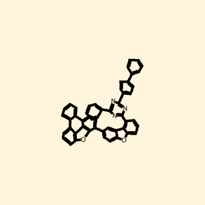 c1ccc(-c2ccc(-c3nc(-c4ccccc4)nc(-c4cccc5oc6ccc(-c7ccc8c9ccccc9c9cccc%10oc7c8c%109)cc6c45)n3)cc2)cc1